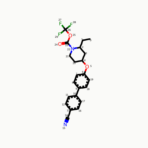 CCC1CC(Oc2ccc(-c3ccc(C#N)cc3)cc2)CCN1C(=O)OC(F)(F)F